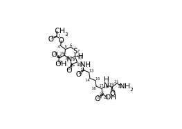 CC(=O)OCC1CS[C@@H]2[C@H](NC(=O)CCCCC(NC(=O)CN)C(=O)O)C(=O)N2C1C(=O)O